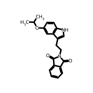 CC(C)Oc1ccc2[nH]cc(CCN3C(=O)c4ccccc4C3=O)c2c1